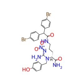 NC(=O)[C@@H](CCCNC(=O)C(c1ccc(Br)cc1)c1ccc(Br)cc1)N(Cc1ccc(O)cc1)C(N)=N[N+](=O)[O-]